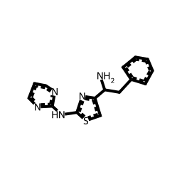 NC(Cc1ccccc1)c1csc(Nc2ncccn2)n1